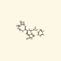 O=C1N/C=C(/c2cc([C@H]3C[C@@H]3c3ccccn3)c3ncc(F)n3n2)COCN1